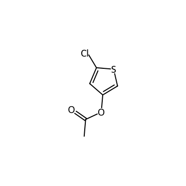 CC(=O)Oc1csc(Cl)c1